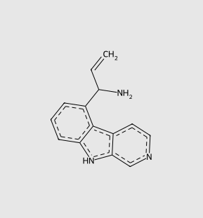 C=CC(N)c1cccc2[nH]c3cnccc3c12